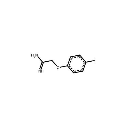 N=C(N)COc1ccc(I)cc1